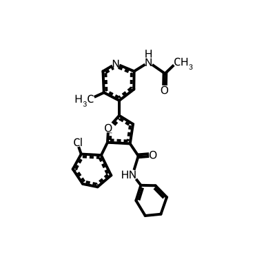 CC(=O)Nc1cc(-c2cc(C(=O)NC3=CCCC=C3)c(-c3ccccc3Cl)o2)c(C)cn1